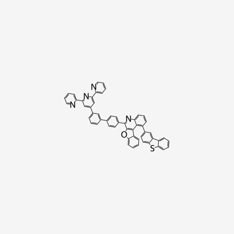 c1ccc(-c2cc(-c3cccc(-c4ccc(-c5nc6cccc(-c7ccc8sc9ccccc9c8c7)c6c6c5oc5ccccc56)cc4)c3)cc(-c3ccccn3)n2)nc1